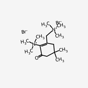 CC1(C)CC(=O)C([N+](C)(C)C)=C(C[N+](C)(C)C)C1.[Br-].[Br-]